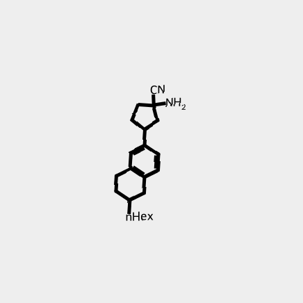 CCCCCCC1CCc2cc(C3CCC(N)(C#N)C3)ccc2C1